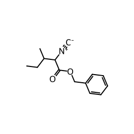 [C-]#[N+]C(C(=O)OCc1ccccc1)C(C)CC